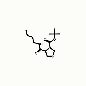 CCCCNC(=O)C1CSCN1C(=O)OC(C)(C)C